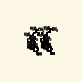 CC(C)=CCC[C@@H](C)[C@H]1CC[C@H]2[C@@H]3CC=C4CC(O)CC[C@]4(C)[C@H]3CC[C@]12C.CC(C)=CCC[C@@H](C)[C@H]1CC[C@H]2[C@@H]3CC=C4C[C@@H](O)CC[C@]4(C)[C@H]3CC[C@]12C